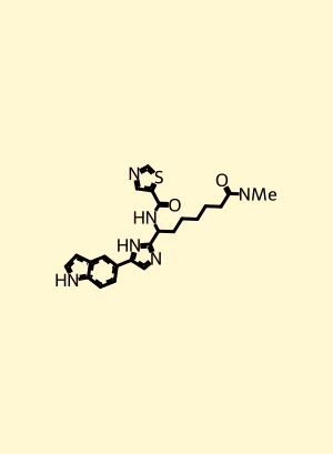 CNC(=O)CCCCCC(NC(=O)c1cncs1)c1ncc(-c2ccc3[nH]ccc3c2)[nH]1